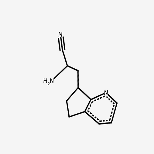 N#CC(N)CC1CCc2cccnc21